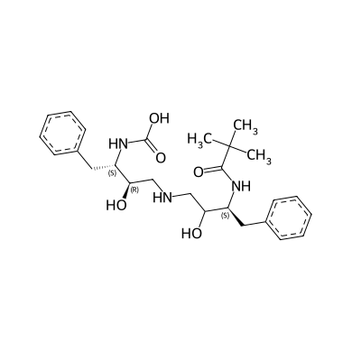 CC(C)(C)C(=O)N[C@@H](Cc1ccccc1)C(O)CNC[C@@H](O)[C@H](Cc1ccccc1)NC(=O)O